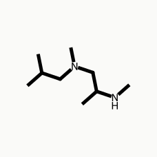 CNC(C)CN(C)CC(C)C